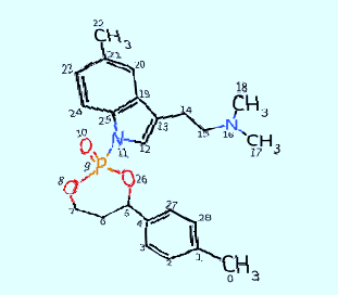 Cc1ccc(C2CCOP(=O)(n3cc(CCN(C)C)c4cc(C)ccc43)O2)cc1